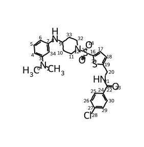 CN(C)c1cccc(NC2CCN(S(=O)(=O)c3ccc(CNC(=O)c4ccc(Cl)cc4)s3)CC2)c1